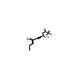 CCCC(O)C#CC(O)CC(C)C(C)(C)C